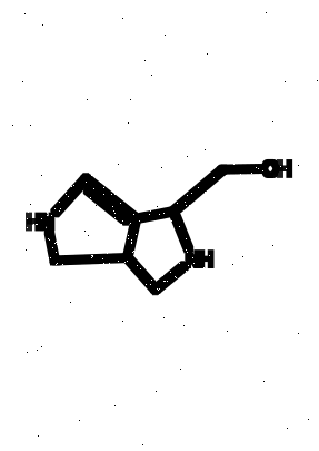 OCC1NCC2CNC=C21